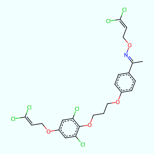 CC(=NOCC=C(Cl)Cl)c1ccc(OCCCOc2c(Cl)cc(OCC=C(Cl)Cl)cc2Cl)cc1